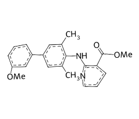 COC(=O)c1cccnc1Nc1c(C)cc(-c2cccc(OC)c2)cc1C